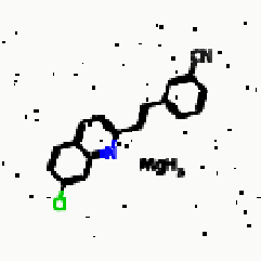 N#Cc1cccc(/C=C/c2ccc3ccc(Cl)cc3n2)c1.[MgH2]